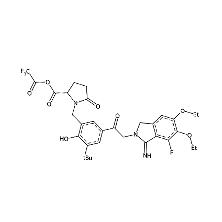 CCOc1cc2c(c(F)c1OCC)C(=N)N(CC(=O)c1cc(CN3C(=O)CCC3C(=O)OC(=O)C(F)(F)F)c(O)c(C(C)(C)C)c1)C2